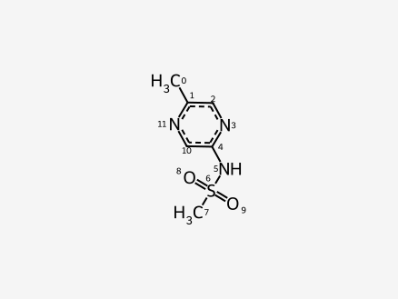 Cc1cnc(NS(C)(=O)=O)cn1